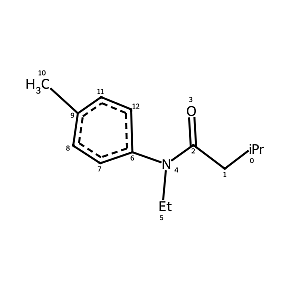 [CH2]C(C)CC(=O)N(CC)c1ccc(C)cc1